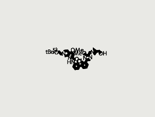 COc1cc(C(=O)Nc2cccc(-c3cccc(-c4cnc(CN5CC(CO)C5)c(OC)n4)c3Cl)c2Cl)nc2c1CCN(CCO[Si](C)(C)C(C)(C)C)C2